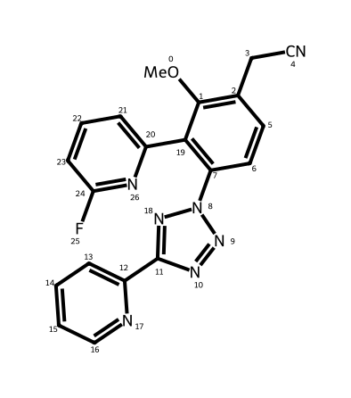 COc1c(CC#N)ccc(-n2nnc(-c3ccccn3)n2)c1-c1cccc(F)n1